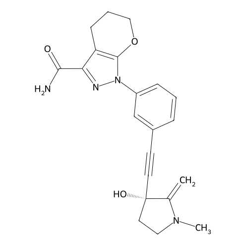 C=C1N(C)CC[C@@]1(O)C#Cc1cccc(-n2nc(C(N)=O)c3c2OCCC3)c1